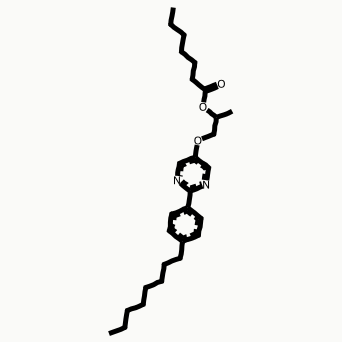 CCCCCCCCc1ccc(-c2ncc(OCC(C)OC(=O)CCCCCC)cn2)cc1